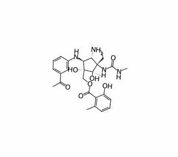 CC[C@]1(NC(=O)NC)[C@@H](N)[C@H](Nc2cccc(C(C)=O)c2)[C@](O)(COC(=O)c2c(C)cccc2O)[C@]1(C)O